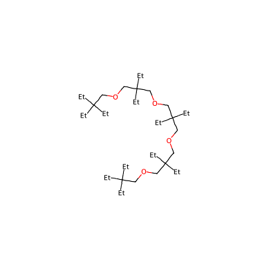 CCC(CC)(CC)COCC(CC)(CC)COCC(CC)(CC)COCC(CC)(CC)COCC(CC)(CC)CC